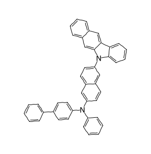 c1ccc(-c2ccc(N(c3ccccc3)c3ccc4cc(-n5c6ccccc6c6cc7ccccc7cc65)ccc4c3)cc2)cc1